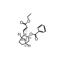 CCOC(=O)/C=C/[C@H]1[C@@H](OC(=O)c2ccccc2)C[C@@H]2CC[C@H]1N2C